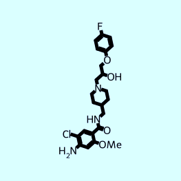 COc1cc(N)c(Cl)cc1C(=O)NCC1CCN(CC(O)COc2ccc(F)cc2)CC1